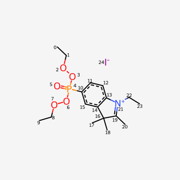 CCOOP(=O)(OOCC)c1ccc2c(c1)C(C)(C)C(C)=[N+]2CC.[I-]